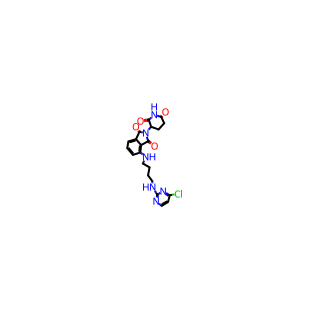 O=C1CCC(N2C(=O)c3cccc(NCCCCNc4nccc(Cl)n4)c3C2=O)C(=O)N1